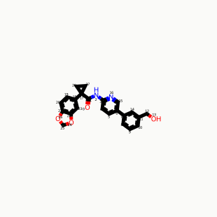 O=C(Nc1ccc(-c2cccc(CO)c2)cn1)C1(c2ccc3c(c2)OCO3)CC1